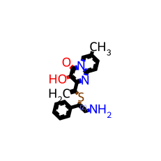 C=C(S/C(=C\N)c1ccccc1)c1nc2ccc(C)cn2c(=O)c1O